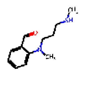 CNCCCN(C)c1ccccc1C=O